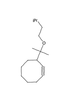 CC(C)CCOC(C)(C)C1C#CCCCCC1